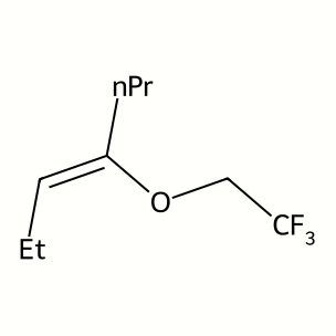 CC/C=C(/CCC)OCC(F)(F)F